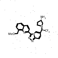 COCc1cccc2ccc(-c3nnc4ccc([C@@H](N5CC[C@H](N)C5)C(F)(F)F)cn34)nc12